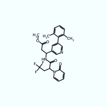 COC(=O)CC(NC(=O)C(CC(F)(F)F)n1ccccc1=O)c1cncc(-c2c(C)cccc2C)c1